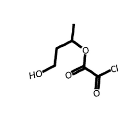 CC(CCO)OC(=O)C(=O)Cl